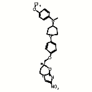 CN(c1ccc(OC(F)(F)F)cc1)C1CCN(c2ccc(OC[C@@H]3CCn4cc([N+](=O)[O-])nc4O3)cc2)CC1